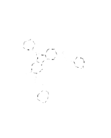 Cc1cc2c(cc1SCc1ccccc1)c1cc(SCc3ccccc3)c(C)cc1p2-c1ccccc1